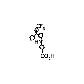 O=C(O)CCc1ccc(NCc2cccc(/C(=N\OCC(F)(F)F)c3ccccc3)c2)cc1